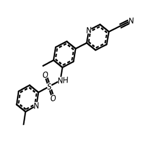 Cc1cccc(S(=O)(=O)Nc2cc(-c3ccc(C#N)cn3)ccc2C)n1